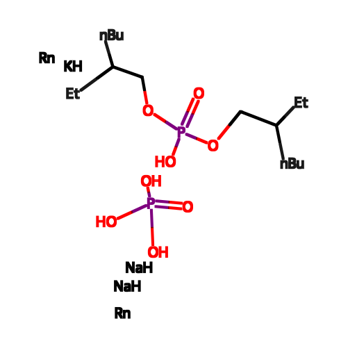 CCCCC(CC)COP(=O)(O)OCC(CC)CCCC.O=P(O)(O)O.[KH].[NaH].[NaH].[Rn].[Rn]